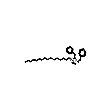 CCCCCCCCCCCCCCCCN1C=CN(Cc2ccccc2)C1Cc1ccccc1